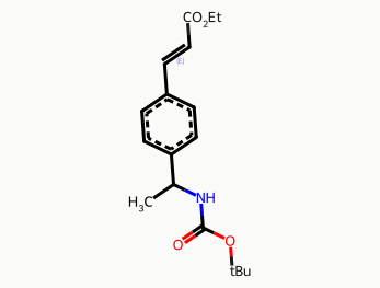 CCOC(=O)/C=C/c1ccc(C(C)NC(=O)OC(C)(C)C)cc1